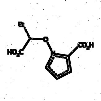 CCC(On1cccc1C(=O)O)C(=O)O